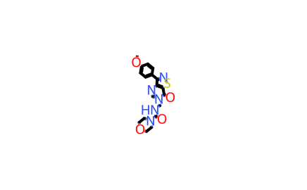 COc1ccc(-c2nsc3c(=O)n(CNC(=O)N4CCOCC4)cnc23)cc1